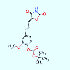 COc1cc(/C=C/C=C2\OC(=O)NC2=O)ccc1OC(=O)OC(C)(C)C